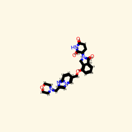 O=C1CCC(N2Cc3c(OCc4ccc5nc(CN6CCOCC6)cn5c4)cccc3C2=O)C(=O)N1